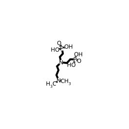 CN(C)CCCN(CCP(=O)(O)O)CCP(=O)(O)O